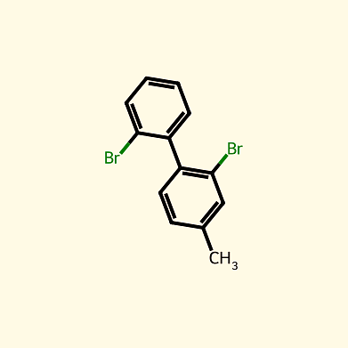 Cc1ccc(-c2ccccc2Br)c(Br)c1